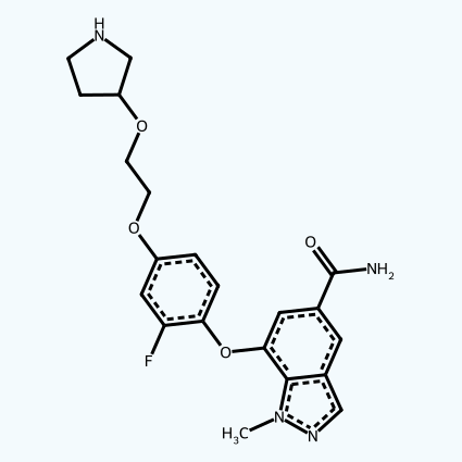 Cn1ncc2cc(C(N)=O)cc(Oc3ccc(OCCOC4CCNC4)cc3F)c21